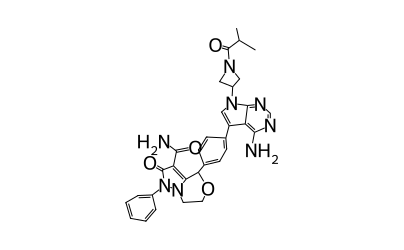 CC(C)C(=O)N1CC(n2cc(-c3ccc(C4OCCn5c4c(C(N)=O)c(=O)n5-c4ccccc4)cc3)c3c(N)ncnc32)C1